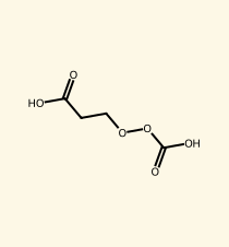 O=C(O)CCOOC(=O)O